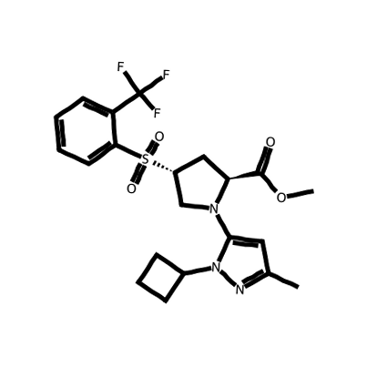 COC(=O)[C@@H]1C[C@@H](S(=O)(=O)c2ccccc2C(F)(F)F)CN1c1cc(C)nn1C1CCC1